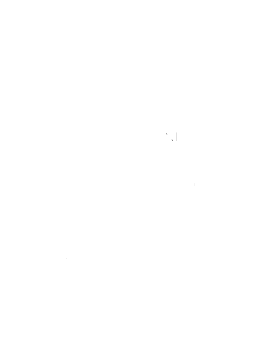 O=C1C=C(CC(Br)CBr)C(=O)N1